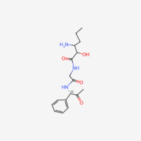 CCCC(N)C(O)C(=O)NCC(=O)N[C@H](C(C)=O)c1ccccc1